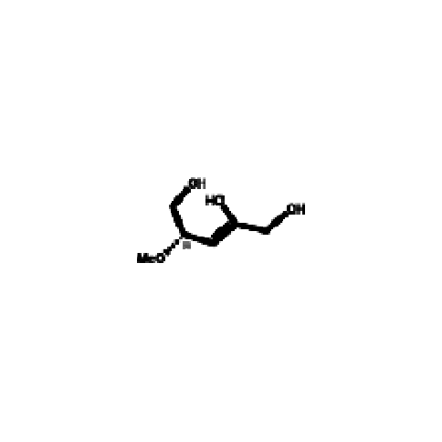 CO[C@@H](C=C(O)CO)CO